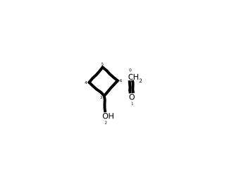 C=O.OC1CCC1